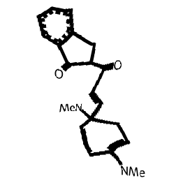 CNC1=CCC(C=CC(=O)C2Cc3ccccc3C2=O)(NC)C=C1